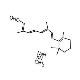 CC(C=CC=C(C)C=CC1=C(C)CCCC1(C)C)=CC=O.[CaH2].[KH].[NaH]